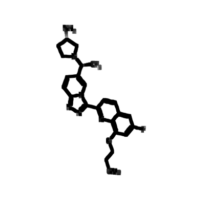 COCCOc1cc(F)cc2ccc(-c3nnc4ccc([C@@H](N5CC[C@H](N)C5)C(F)(F)F)cn34)nc12